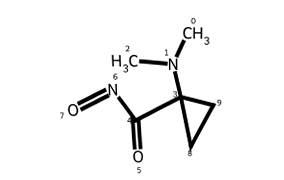 CN(C)C1(C(=O)N=O)CC1